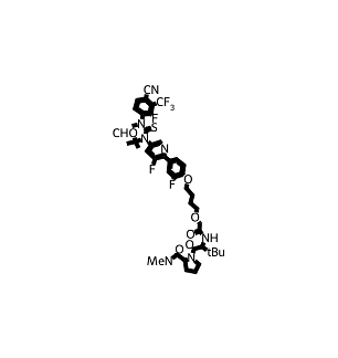 CNC(=O)C1CCCN1C(=O)C(NC(=O)COCCCCOc1ccc(-c2ncc(N(C(=S)N(C)c3ccc(C#N)c(C(F)(F)F)c3F)C(C)(C)C=O)cc2F)cc1F)C(C)(C)C